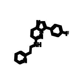 Fc1ccc(-c2cnc3ccc(NCCc4ccccn4)nn23)cc1